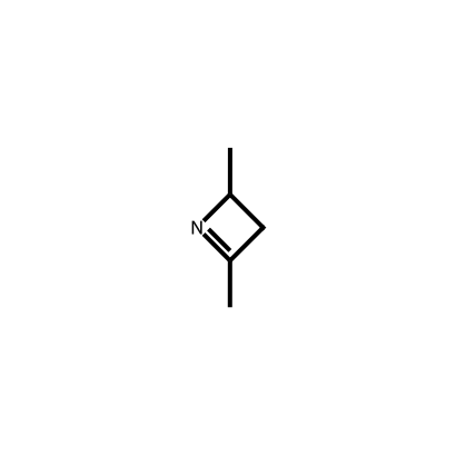 CC1=NC(C)C1